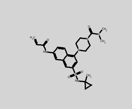 C=CC(=O)Nc1ccc2c(N3CCN(C(=O)N(C)C)CC3)cc(S(=O)(=O)NC3(C)CC3)cc2c1